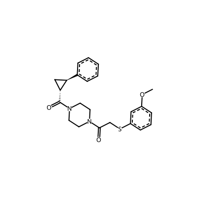 COc1cccc(SCC(=O)N2CCN(C(=O)[C@@H]3C[C@H]3c3ccccc3)CC2)c1